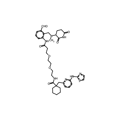 CN(Cc1c(C=O)cccc1NC(=O)CCOCCOCCNC(=O)C1(Cc2cccc(Nc3nccs3)n2)CCCCC1)C1CCC(=O)NC1=O